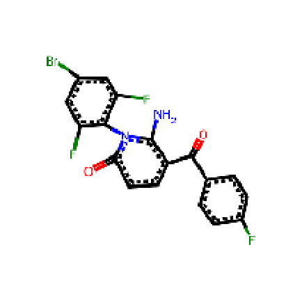 Nc1c(C(=O)c2ccc(F)cc2)ccc(=O)n1-c1c(F)cc(Br)cc1F